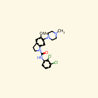 COc1cc2c(cc1N1CCN(C)CC1)N(C(=O)Nc1cccc(Cl)c1Cl)CC2